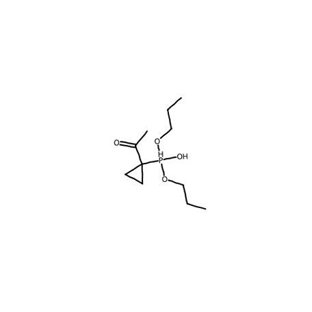 CCCO[PH](O)(OCCC)C1(C(C)=O)CC1